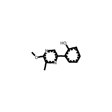 COc1ncc(-c2ccccc2O)nc1C